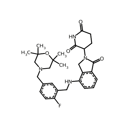 CC1(C)CN(Cc2ccc(F)c(CNc3cccc4c3CN(C3CCC(=O)NC3=O)C4=O)c2)CC(C)(C)O1